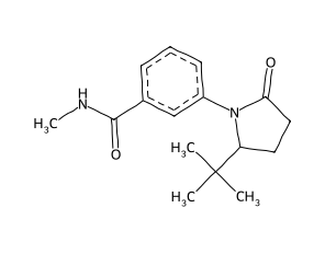 CNC(=O)c1cccc(N2C(=O)CCC2C(C)(C)C)c1